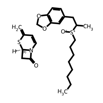 C=C1C=CN2C(=O)C[C@H]2S1.CCCCCCCC[S+]([O-])C(C)Cc1ccc2c(c1)OCO2